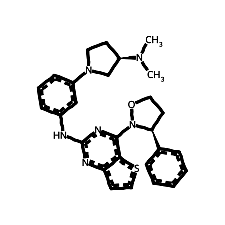 CN(C)[C@@H]1CCN(c2cccc(Nc3nc(N4OCC[C@H]4c4ccccc4)c4sccc4n3)c2)C1